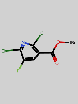 CC(C)(C)OC(=O)c1cc(F)c(Cl)nc1Cl